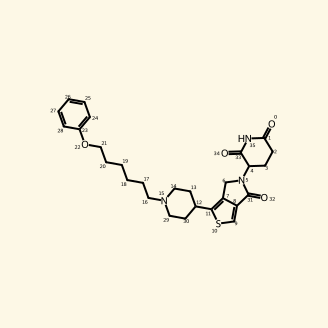 O=C1CCC(N2Cc3c(csc3C3CCN(CCCCCCOc4ccccc4)CC3)C2=O)C(=O)N1